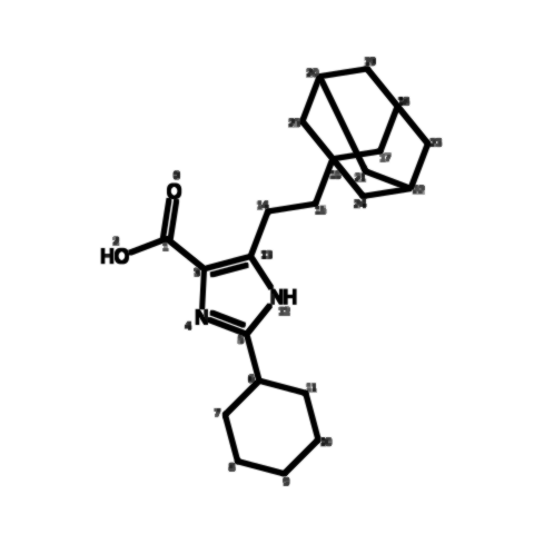 O=C(O)c1nc(C2CCCCC2)[nH]c1CCC12CC3CC(CC(C3)C1)C2